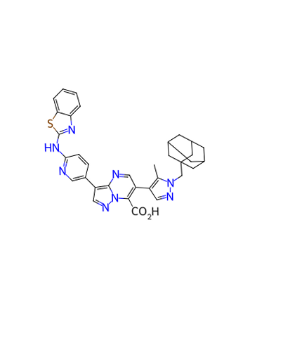 Cc1c(-c2cnc3c(-c4ccc(Nc5nc6ccccc6s5)nc4)cnn3c2C(=O)O)cnn1CC12CC3CC(CC(C3)C1)C2